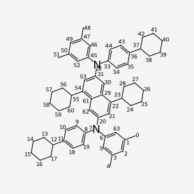 Cc1cc(C)cc(N(c2ccc(C3CCCCC3)cc2)c2cc(C3CCCCC3)c3cc(N(c4ccc(C5CCCCC5)cc4)c4cc(C)cc(C)c4)cc(C4CCCCC4)c3c2)c1